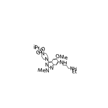 CCNCCCNc1cc2nc(NC)nc(N3CCN(S(=O)(=O)C(C)C)CC3)c2cc1OC